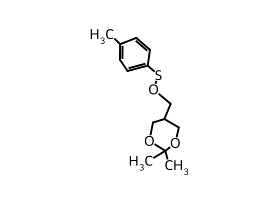 Cc1ccc(SOCC2COC(C)(C)OC2)cc1